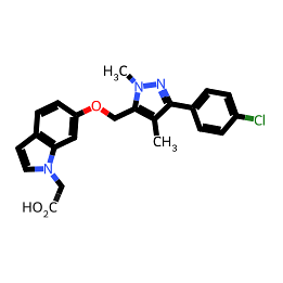 Cc1c(-c2ccc(Cl)cc2)nn(C)c1COc1ccc2ccn(CC(=O)O)c2c1